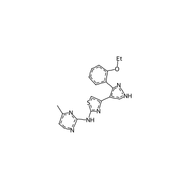 CCOc1ccccc1-c1n[nH]cc1-c1csc(Nc2nccc(C)n2)n1